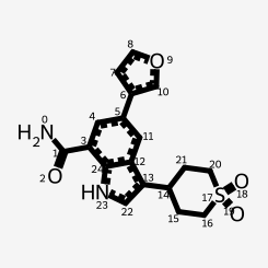 NC(=O)c1cc(-c2ccoc2)cc2c(C3CCS(=O)(=O)CC3)c[nH]c12